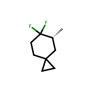 C[C@@H]1CC2(CC2)CCC1(F)F